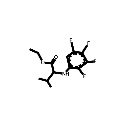 CCOC(=O)C(Nc1cc(F)c(F)c(F)c1F)C(C)C